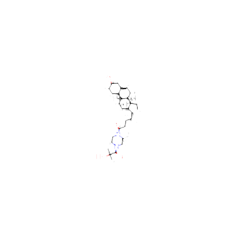 C[C@H](CCC(=O)N1CCN(C(=O)C(C)(C)O)C[C@@H]1C)[C@H]1CC[C@H]2[C@@H]3CC=C4C[C@@H](O)CC[C@]4(C)[C@H]3CC[C@]12C